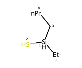 C[CH][SiH](S)CCCC